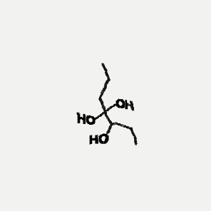 CCCC(O)(O)C(O)CC